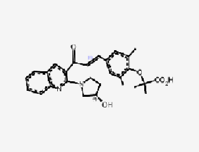 Cc1cc(/C=C/C(=O)c2cc3ccccc3nc2N2CC[C@@H](O)C2)cc(C)c1OC(C)(C)C(=O)O